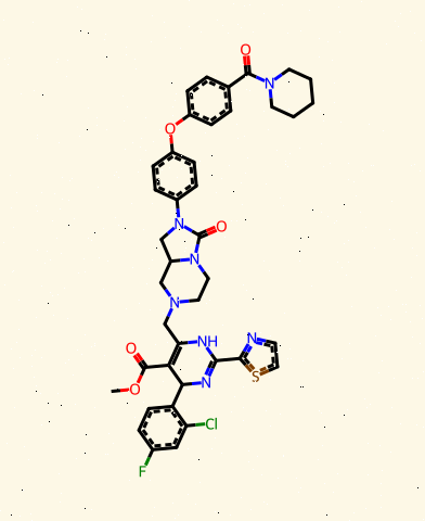 COC(=O)C1=C(CN2CCN3C(=O)N(c4ccc(Oc5ccc(C(=O)N6CCCCC6)cc5)cc4)CC3C2)NC(c2nccs2)=NC1c1ccc(F)cc1Cl